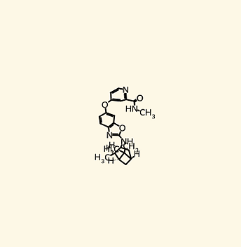 CNC(=O)c1cc(Oc2ccc3nc(N[C@H]4C[C@@H]5C[C@@H]([C@H]4C)C5(C)C)oc3c2)ccn1